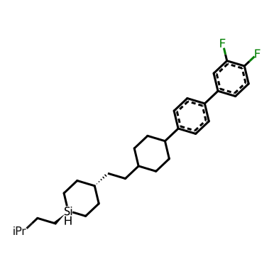 CC(C)CC[Si@H]1CC[C@H](CCC2CCC(c3ccc(-c4ccc(F)c(F)c4)cc3)CC2)CC1